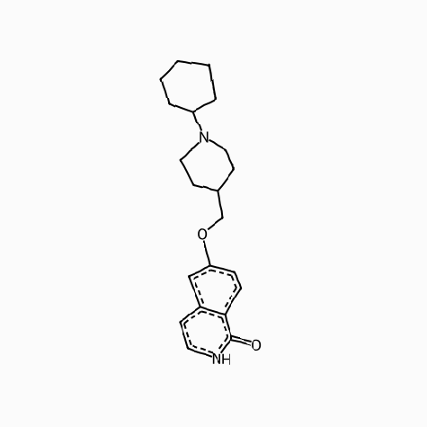 O=c1[nH]ccc2cc(OCC3CCN(C4CCCCC4)CC3)ccc12